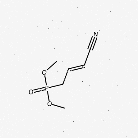 COP(=O)(CC=CC#N)OC